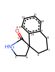 O=C1NCCC12CCCc1ccccc12